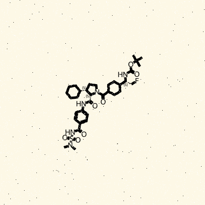 CN(C)S(=O)(=O)NC(=O)c1ccc(NC(=O)[C@@H]2[C@H](C3CCCCC3)CCN2C(=O)C2CCC([C@@H](CF)NC(=O)OC(C)(C)C)CC2)cc1